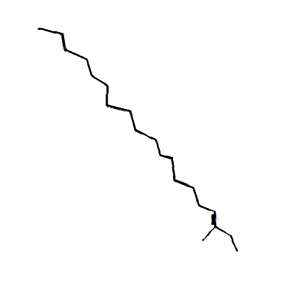 CCCCCCCCCCCCCCC/C=C(\C)CC